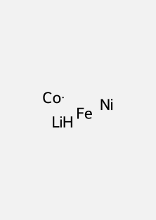 [Co].[Fe].[LiH].[Ni]